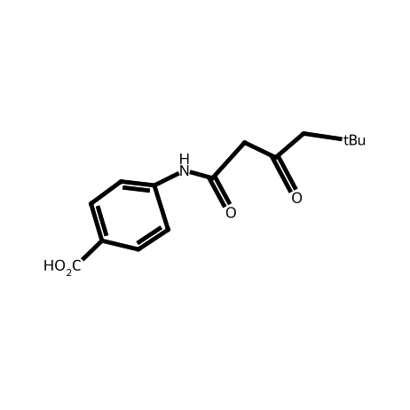 CC(C)(C)CC(=O)CC(=O)Nc1ccc(C(=O)O)cc1